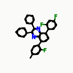 Cc1ccc(-c2ccc(-c3ccc(F)cc3F)c3nc(-c4ccccc4)c(-c4ccccc4)nc23)c(F)c1